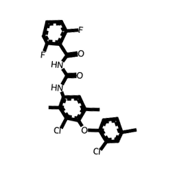 Cc1ccc(Oc2c(C)cc(NC(=O)NC(=O)c3c(F)cccc3F)c(C)c2Cl)c(Cl)c1